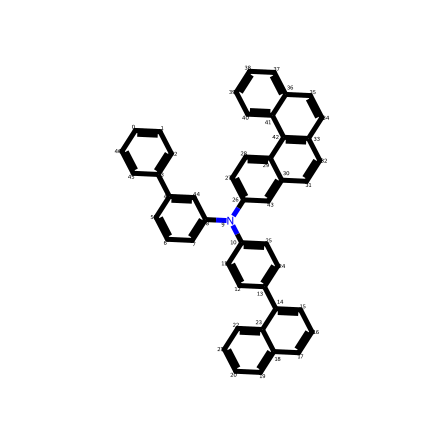 c1ccc(-c2cccc(N(c3ccc(-c4cccc5ccccc45)cc3)c3ccc4c(ccc5ccc6ccccc6c54)c3)c2)cc1